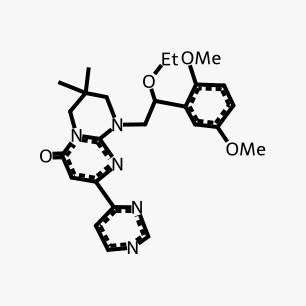 CCOC(CN1CC(C)(C)Cn2c1nc(-c1ccncn1)cc2=O)c1cc(OC)ccc1OC